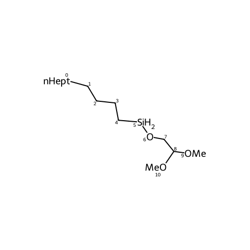 CCCCCCCCCCC[SiH2]OCC(OC)OC